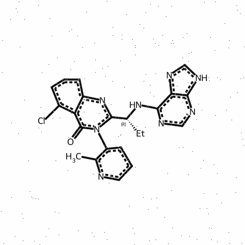 CC[C@@H](Nc1ncnc2[nH]cnc12)c1nc2cccc(Cl)c2c(=O)n1-c1cccnc1C